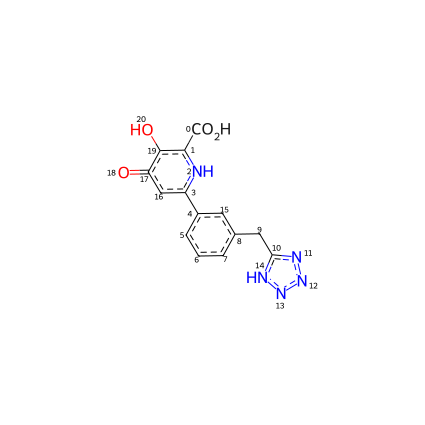 O=C(O)c1[nH]c(-c2cccc(Cc3nnn[nH]3)c2)cc(=O)c1O